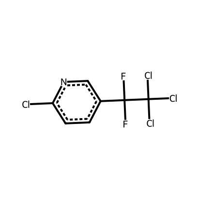 FC(F)(c1ccc(Cl)nc1)C(Cl)(Cl)Cl